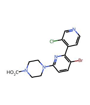 O=C(O)N1CCN(c2ccc(Br)c(-c3ccncc3Cl)n2)CC1